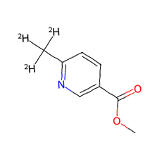 [2H]C([2H])([2H])c1ccc(C(=O)OC)cn1